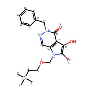 C[Si](C)(C)CCOCn1c(Br)c(O)c2c(=O)n(Cc3ccccc3)ncc21